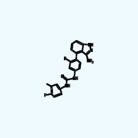 Cc1cc(NC(=O)Nc2ccc(-c3cccc4[nH]nc(N)c34)c(F)c2)ccc1F